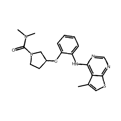 Cc1csc2ncnc(Nc3ccccc3OC3CCN(C(=O)N(C)C)C3)c12